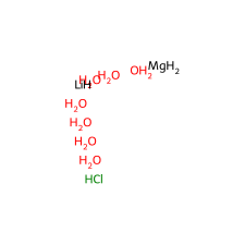 Cl.O.O.O.O.O.O.O.[LiH].[MgH2]